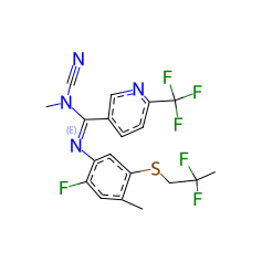 Cc1cc(F)c(/N=C(\c2ccc(C(F)(F)F)nc2)N(C)C#N)cc1SCC(C)(F)F